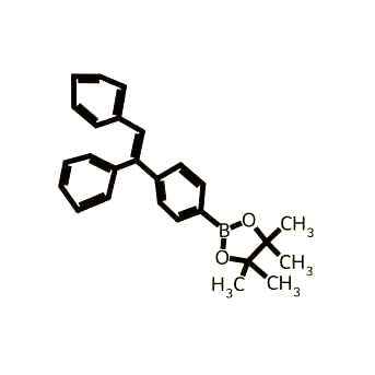 CC1(C)OB(c2ccc(C(=Cc3ccccc3)c3ccccc3)cc2)OC1(C)C